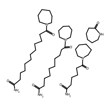 NC(=O)CCCCC(=O)N1CCCCCC1.NC(=O)CCCCCCCCC(=O)N1CCCCCC1.NC(=O)CCCCCCCCCCC(=O)N1CCCCCC1.O=C1CCCCCN1